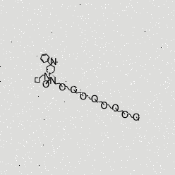 COCCOCCOCCOCCOCCOCCOCCOCCN1C[C@]2(CC[C@](c3ccccc3)(N(C)C)CC2)N(CC2CCC2)C1=O